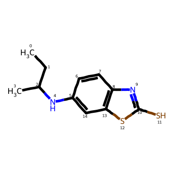 CCC(C)Nc1ccc2nc(S)sc2c1